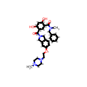 CN1CCN(CCOc2ccc3c(c2)CN(C(=O)c2cc(C(=O)N(C)Cc4ccccc4)c(O)cc2O)C3)CC1